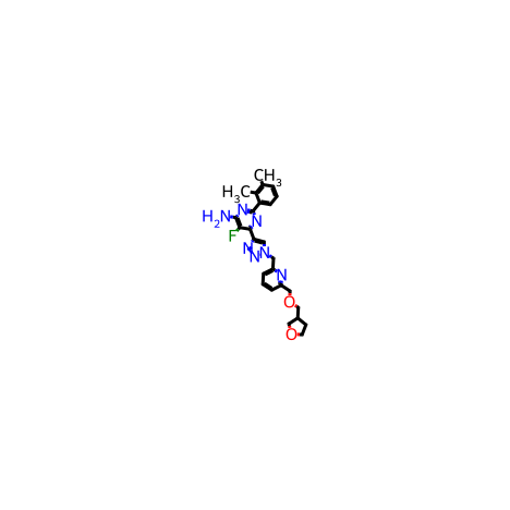 Cc1cccc(-c2nc(N)c(F)c(-c3cn(Cc4cccc(COCC5CCOC5)n4)nn3)n2)c1C